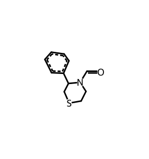 O=CN1CCSCC1c1ccccc1